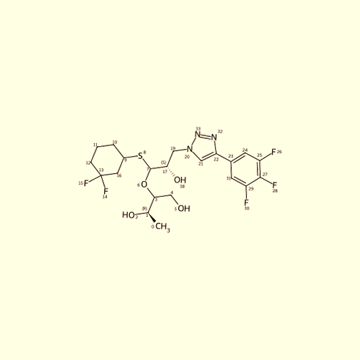 C[C@@H](O)C(CO)OC(SC1CCCC(F)(F)C1)[C@@H](O)Cn1cc(-c2cc(F)c(F)c(F)c2)nn1